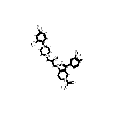 CC(=O)N1CCc2c(c(-c3ccc(Cl)c(C)c3)nn2CC(O)CN2CCN(c3ccc(C)cc3C)CC2)C1